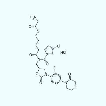 Cl.NCC(=O)SCCCCC(=O)N(C[C@H]1CN(c2ccc(N3CCOCC3=O)cc2F)C(=O)O1)C(=O)c1ccc(Cl)s1